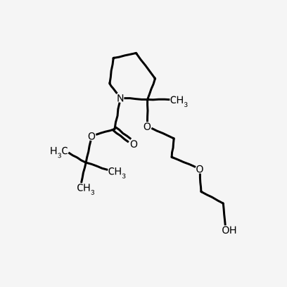 CC(C)(C)OC(=O)N1CCCCC1(C)OCCOCCO